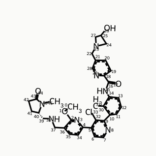 COc1nc(-c2ccnc(-c3cccc(NC(=O)c4ccc(CN5CC(O)C5)cn4)c3C)c2Cl)ccc1CNC[C@@H]1CCC(=O)N1C